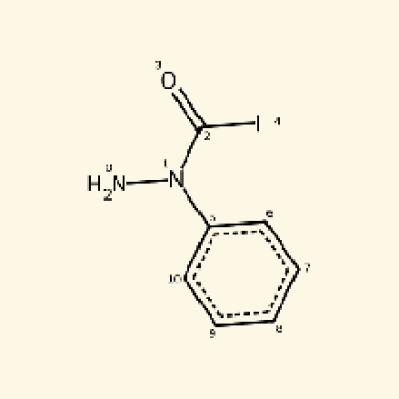 NN(C(=O)I)c1ccccc1